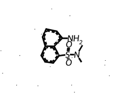 CN(C)S(=O)(=O)c1cccc2cccc(N)c12